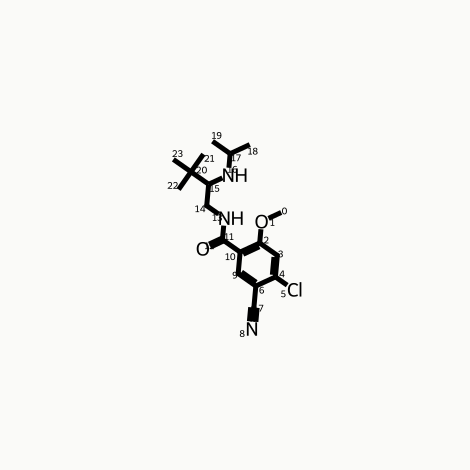 COc1cc(Cl)c(C#N)cc1C(=O)NCC(NC(C)C)C(C)(C)C